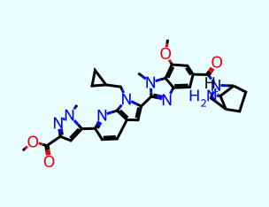 COC(=O)c1cc(-c2ccc3cc(-c4nc5cc(C(=O)N6CC7CCC6[C@@H]7N)cc(OC)c5n4C)n(CC4CC4)c3n2)n(C)n1